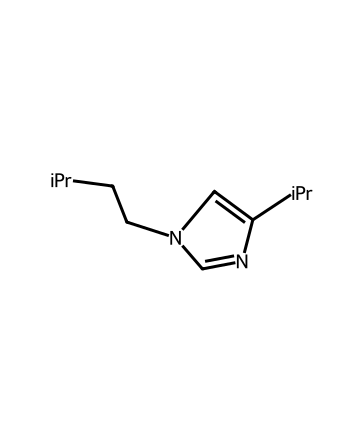 CC(C)CCn1cnc(C(C)C)c1